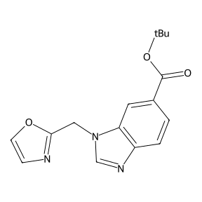 CC(C)(C)OC(=O)c1ccc2ncn(Cc3ncco3)c2c1